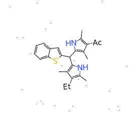 CCc1c(C)[nH]c(C(c2cc3ccccc3s2)c2[nH]c(C)c(C(C)=O)c2C)c1C